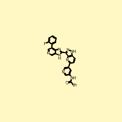 CC(C)C(=O)Nc1cncc(-c2ccc3[nH]nc(-c4nc5c(-c6ccccc6F)cncc5[nH]4)c3n2)c1